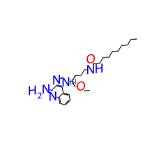 CCCCCCCCCC(=O)NCCC[C@@H](COCC)n1cnc2c(N)nc3ccccc3c21